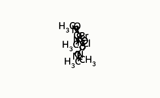 Cc1nc(COc2nc(C)n(-c3cc(-c4ccnc(C(C)C)n4)ccc3Cl)c(=O)c2Br)co1